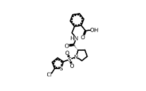 O=C(O)c1ccccc1CNC(=O)[C@@H]1CCCN1S(=O)(=O)c1ccc(Cl)s1